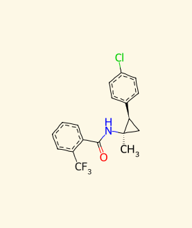 C[C@@]1(NC(=O)c2ccccc2C(F)(F)F)C[C@@H]1c1ccc(Cl)cc1